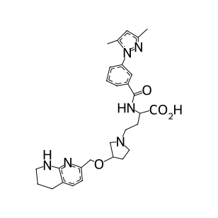 Cc1cc(C)n(-c2cccc(C(=O)NC(CCN3CCC(OCc4ccc5c(n4)NCCC5)C3)C(=O)O)c2)n1